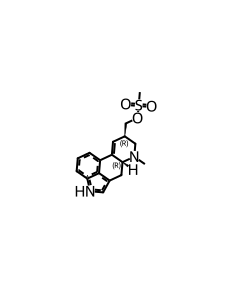 CN1C[C@H](COS(C)(=O)=O)C=C2c3cccc4[nH]cc(c34)C[C@H]21